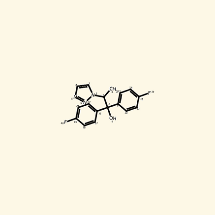 CC(n1ccnn1)C(O)(c1ccc(F)cc1)c1ccc(F)cc1